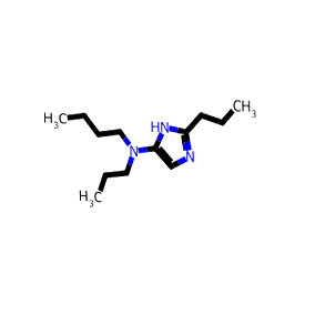 CCCCN(CCC)c1cnc(CCC)[nH]1